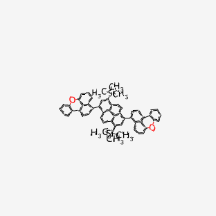 C[Si](C)(C)c1cc(-c2ccc3c4c(cccc24)Oc2ccccc2-3)c2ccc3c([Si](C)(C)C)cc(-c4ccc5c6c(cccc46)Oc4ccccc4-5)c4ccc1c2c43